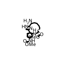 COC(=O)Nc1ccc2c(c1)N[C@@H](C(=O)OC)CCCCC[C@H](N)c1nc-2c[nH]1